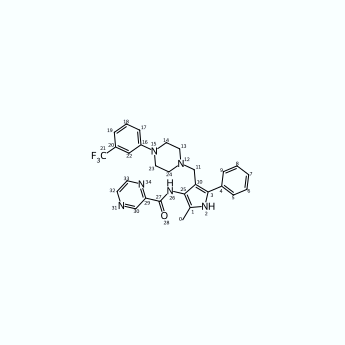 Cc1[nH]c(-c2ccccc2)c(CN2CCN(c3cccc(C(F)(F)F)c3)CC2)c1NC(=O)c1cnccn1